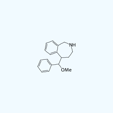 COC(c1ccccc1)C1CCNCc2ccccc21